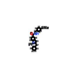 CSc1ccc(CNC(=O)c2ccc3c(c2)cc(Cc2ccccc2)n3C(C)C)cc1